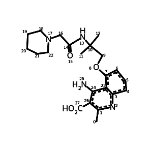 Cc1nc2cccc(OCC(C)(C)NC(=O)CN3CCCCC3)c2c(N)c1C(=O)O